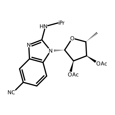 CC(=O)O[C@@H]1[C@H](OC(C)=O)[C@@H](C)O[C@H]1n1c(NC(C)C)nc2cc(C#N)ccc21